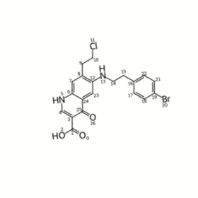 O=C(O)c1c[nH]c2cc(CCCl)c(NCCc3ccc(Br)cc3)cc2c1=O